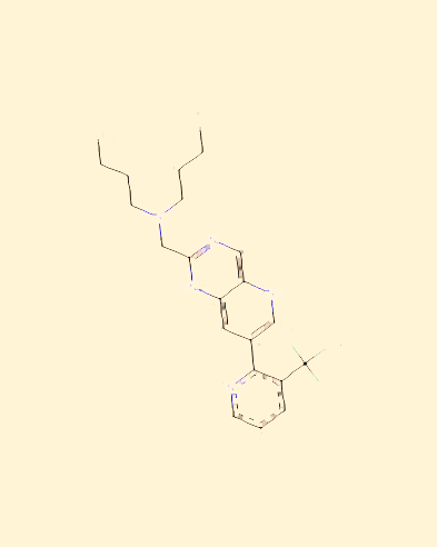 CCCCN(CCCC)CC1=N[C]=C2NC=C(c3ncccc3C(F)(F)F)C=C2N1